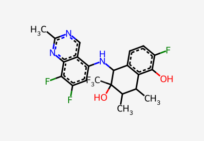 Cc1ncc2c(NC3c4ccc(F)c(O)c4C(C)C(C)C3(O)C(F)(F)F)cc(F)c(F)c2n1